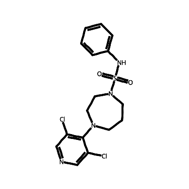 O=S(=O)(Nc1ccccc1)N1CCCN(c2c(Cl)cncc2Cl)CC1